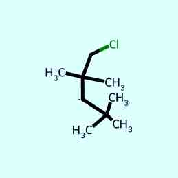 CC(C)(C)[CH]C(C)(C)CCl